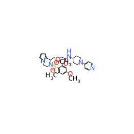 COc1cc(C)c(S(=O)(=O)N2CCn3cccc3C2COCC(=O)NC2CCN(c3ccncc3)CC2)c(C)c1